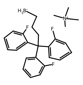 C[N+](C)(C)C.[BH3-]CCCC(c1ccccc1F)(c1ccccc1F)c1ccccc1F